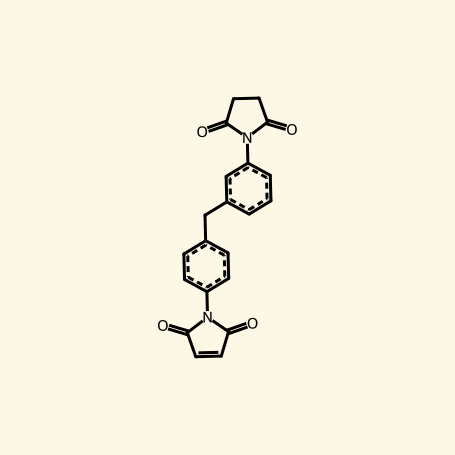 O=C1C=CC(=O)N1c1ccc(Cc2cccc(N3C(=O)CCC3=O)c2)cc1